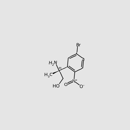 C[C@](N)(CO)c1cc(Br)ccc1[N+](=O)[O-]